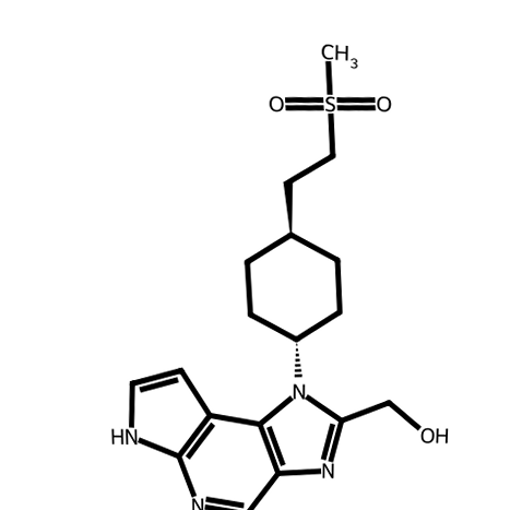 CS(=O)(=O)CC[C@H]1CC[C@H](n2c(CO)nc3cnc4[nH]ccc4c32)CC1